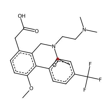 COc1ccc(CC(=O)O)c(CN(CCN(C)C)C(C)=O)c1-c1ccc(C(F)(F)F)cc1